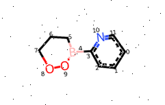 c1ccc(B2CCCOO2)nc1